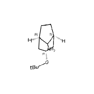 CC(C)(C)O[C@@H]1C[C@H]2CC[C@@H](C1)C2N